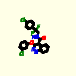 O=C(NCC(F)(F)c1ccc(Cl)cc1)c1c(Oc2cccc(Cl)c2)nnc2ccccc12